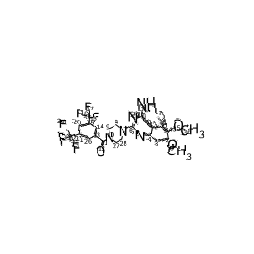 COc1cc2nc(N3CCN(C(=O)c4cc(C(F)(F)F)cc(C(F)(F)F)c4)CC3)nc(N)c2cc1OC